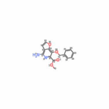 COC(=O)c1nc(N)c2ccoc2c1OCc1ccccc1